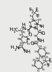 C[C@@H](NC(=O)[C@H]1C[C@]2(CC(F)(F)F)C[C@@H]2N1C(=O)CNC(=O)c1ccc2c(c1)-c1ccccc1C2(F)F)c1cc(C(=N)N)cs1